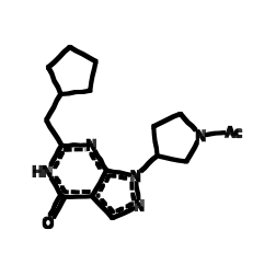 CC(=O)N1CCC(n2ncc3c(=O)[nH]c(CC4CCCC4)nc32)C1